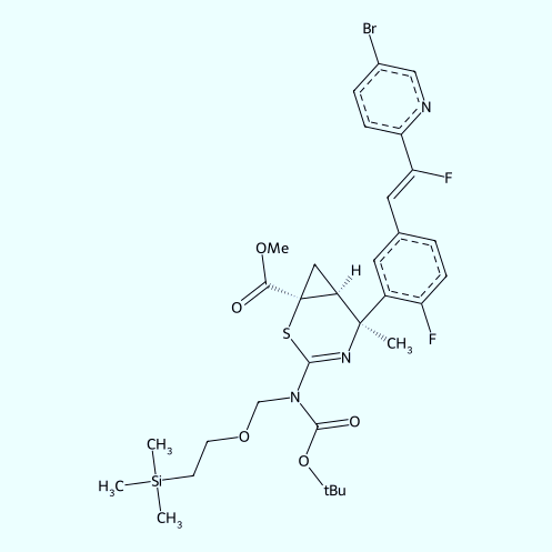 COC(=O)[C@]12C[C@H]1[C@@](C)(c1cc(/C=C(\F)c3ccc(Br)cn3)ccc1F)N=C(N(COCC[Si](C)(C)C)C(=O)OC(C)(C)C)S2